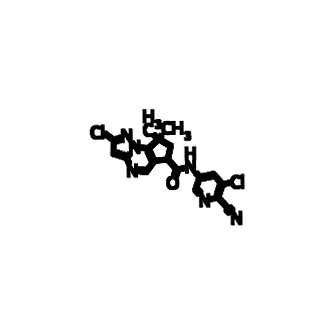 CC1(C)CC(C(=O)Nc2cnc(C#N)c(Cl)c2)c2cnc3cc(Cl)nn3c21